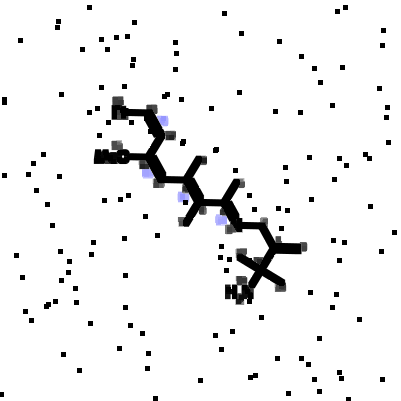 C=C(C/N=C(C)/C(C)=C(C)/C=C(\C=C/CC)OC)C(C)(C)N